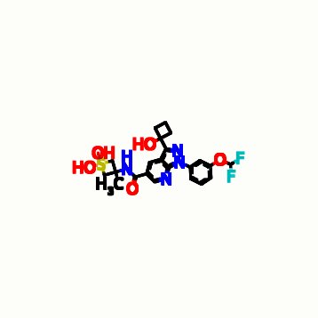 CC1(NC(=O)c2cnc3c(c2)c(C2(O)CCC2)nn3-c2cccc(OC(F)F)c2)CS(O)(O)C1